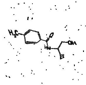 CCC(CO)NC(=O)c1ccc(C)cc1